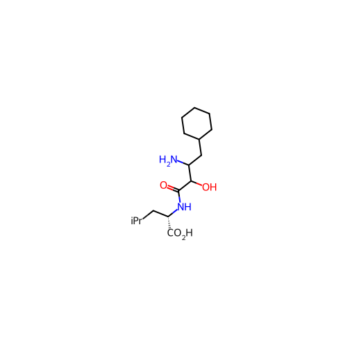 CC(C)C[C@H](NC(=O)C(O)C(N)CC1CCCCC1)C(=O)O